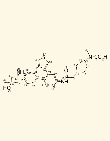 CN(C(=O)O)C1CCC(CC(=O)Nc2cc(-c3ccsc3)c(-c3ccc([C@]4(N)C[C@](C)(O)C4)cc3)nn2)CC1